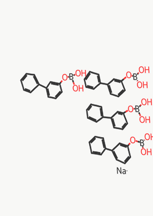 OB(O)Oc1cccc(-c2ccccc2)c1.OB(O)Oc1cccc(-c2ccccc2)c1.OB(O)Oc1cccc(-c2ccccc2)c1.OB(O)Oc1cccc(-c2ccccc2)c1.[Na]